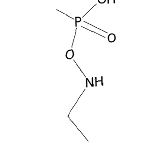 CCNOP(C)(=O)O